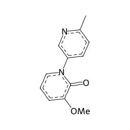 COc1cccn(-c2ccc(C)nc2)c1=O